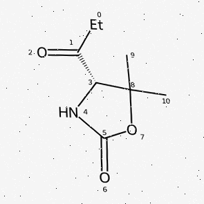 CCC(=O)[C@H]1NC(=O)OC1(C)C